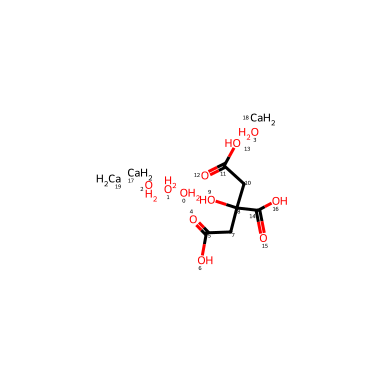 O.O.O.O.O=C(O)CC(O)(CC(=O)O)C(=O)O.[CaH2].[CaH2].[CaH2]